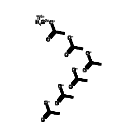 CC(=O)[O-].CC(=O)[O-].CC(=O)[O-].CC(=O)[O-].CC(=O)[O-].CC(=O)[O-].[OH4+2].[Ti+4]